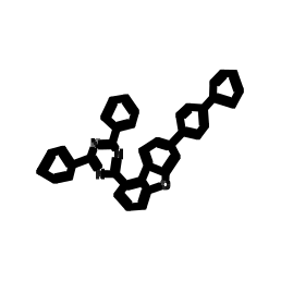 c1ccc(-c2ccc(-c3ccc4c(c3)oc3cccc(-c5nc(-c6ccccc6)nc(-c6ccccc6)n5)c34)cc2)cc1